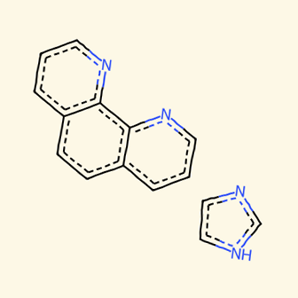 c1c[nH]cn1.c1cnc2c(c1)ccc1cccnc12